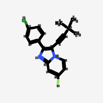 C[Si](C)(C)C#Cc1c(-c2ccc(Cl)cc2)nc2cc(F)ccn12